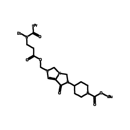 CCCC(=O)N(CC)CCC(=O)OCN1C=C2C(=O)N(C3CCN(C(=O)OC(C)(C)C)CC3)CN2C1